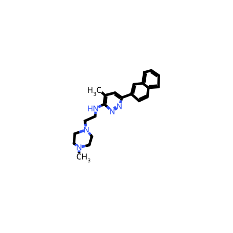 Cc1cc(-c2ccc3ccccc3c2)nnc1NCCN1CCN(C)CC1